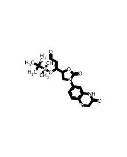 CC(C)(C)[Si](C)(C)OC(CC=O)C1CN(c2ccc3c(c2)NC(=O)CS3)C(=O)O1